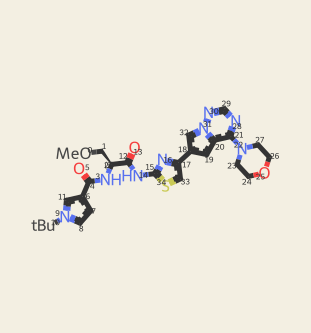 COC[C@H](NC(=O)c1ccn(C(C)(C)C)c1)C(=O)Nc1nc(-c2cc3c(N4CCOCC4)ncnn3c2)cs1